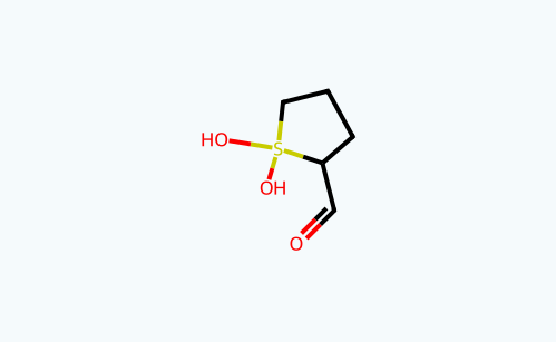 O=CC1CCCS1(O)O